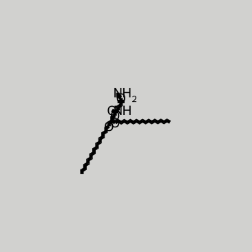 CCCCCCCCCCCCCCCCCCOCC(COC(=O)NCCC(C)(C)OCN)OCCCCCCCCCCCCCCCCCC